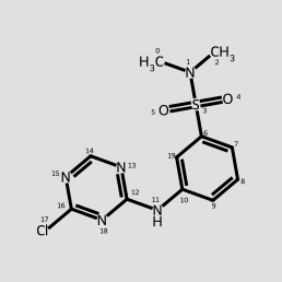 CN(C)S(=O)(=O)c1cccc(Nc2ncnc(Cl)n2)c1